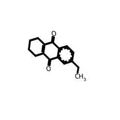 CCc1ccc2c(c1)C(=O)C1=C(CCCC1)C2=O